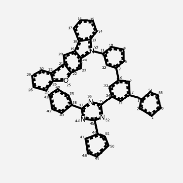 c1ccc(-c2cc(-c3cccc(-n4c5ccccc5c5cc6c(cc54)oc4ccccc46)c3)cc(-c3nc(-c4ccccc4)nc(-c4ccccc4)n3)c2)cc1